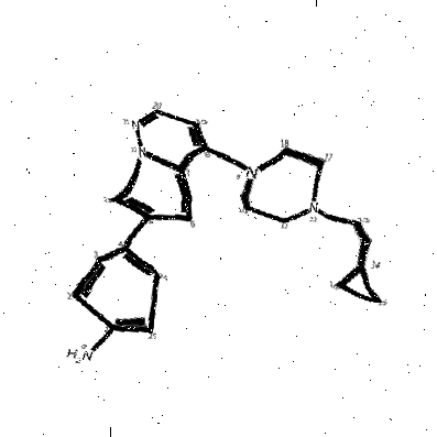 Nc1ccc(-c2cc3c(N4CCN(CC5CC5)CC4)ccnn3c2)cc1